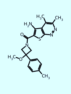 COC1(c2ccc(C)cc2)CN(C(=O)c2sc3nnc(C)c(C)c3c2N)C1